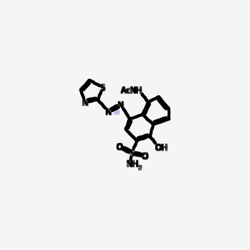 CC(=O)Nc1cccc2c(O)c(S(N)(=O)=O)cc(/N=N/c3nccs3)c12